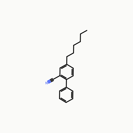 CCCCCCc1ccc(-c2ccccc2)c(C#N)c1